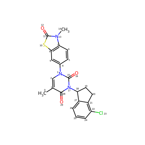 Cc1cn(-c2ccc3c(c2)sc(=O)n3C)c(=O)n(C2CCc3c(Cl)cccc32)c1=O